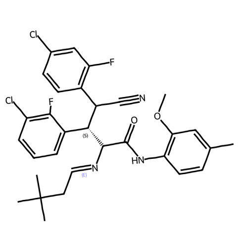 COc1cc(C)ccc1NC(=O)C(/N=C/CC(C)(C)C)[C@H](c1cccc(Cl)c1F)C(C#N)c1ccc(Cl)cc1F